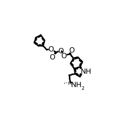 C[C@@H](N)Cc1c[nH]c2ccc(C(=O)OOC(=O)OCc3ccccc3)cc12